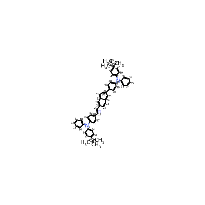 C[Si](C)(C)c1ccc(N(c2ccccc2)c2ccc(/C=C/c3ccc4cc(-c5ccc(N(c6ccccc6)c6ccc([Si](C)(C)C)cc6)cc5)ccc4c3)cc2)cc1